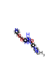 CN1CCN(c2ccc(C(=O)Nc3n[nH]c4cc(OCCOCc5ccncc5)ccc34)cc2)CC1